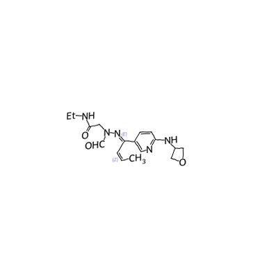 C/C=C\C(=N/N(C=O)CC(=O)NCC)c1ccc(NC2COC2)nc1